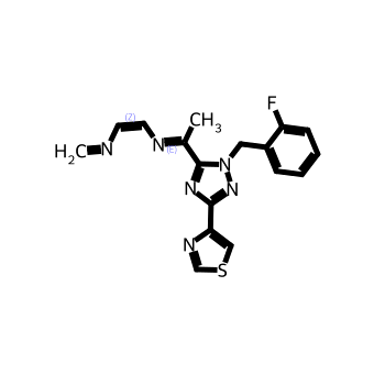 C=N/C=C\N=C(/C)c1nc(-c2cscn2)nn1Cc1ccccc1F